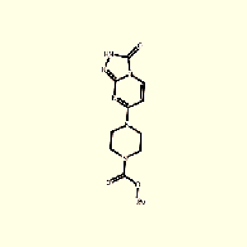 CC(C)(C)OC(=O)N1CCN(c2ccn3c(=O)[nH]nc3n2)CC1